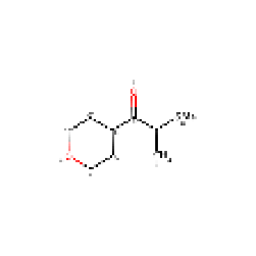 CSC(C)C(=O)C1CCOCC1